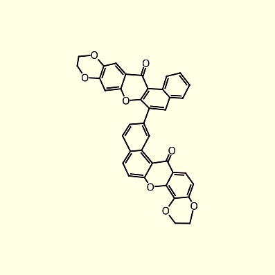 O=c1c2ccc3c(c2oc2ccc4ccc(-c5cc6ccccc6c6c(=O)c7cc8c(cc7oc56)OCCO8)cc4c12)OCCO3